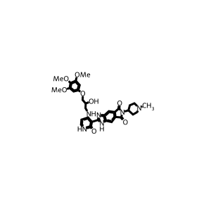 COc1cc(OCC(O)CNc2cc[nH]c(=O)c2-c2nc3cc4c(cc3[nH]2)C(=O)N(C2CCN(C)CC2)C4=O)cc(OC)c1OC